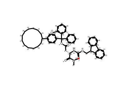 CN(C)C(=O)[C@H](CC(=O)OC(c1ccccc1)(c1ccc(C2CCCCCCCCCCCC2)cc1)c1ccccc1Cl)NC(=O)OCC1c2ccccc2-c2ccccc21